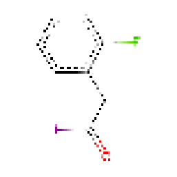 O=C(I)Cc1ccccc1F